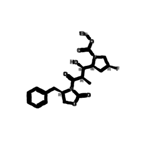 C[C@@H](C(=O)N1C(=O)OC[C@H]1Cc1ccccc1)[C@@H](O)[C@@H]1C[C@H](F)CN1C(=O)OC(C)(C)C